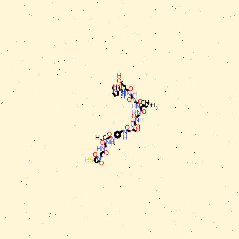 CC[C@H](C)[C@H](NC(=O)CNC(=O)CNC(=O)[C@H](C[C@@H](O)CO)NC[C@@H]1CCCN1C)C(=O)NCC(=O)NCC(=O)N[C@H](C=O)CC(=O)NCc1ccc(NC(=O)[C@H](C)NC(=O)CNC(=O)CCN2C(=O)CC(S)C2=O)cc1